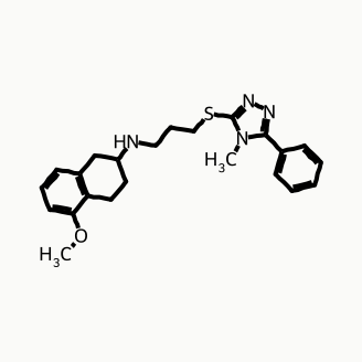 COc1cccc2c1CCC(NCCCSc1nnc(-c3ccccc3)n1C)C2